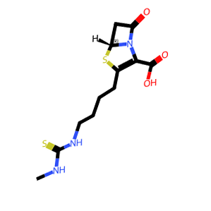 CNC(=S)NCCCCC1=C(C(=O)O)N2C(=O)C[C@H]2S1